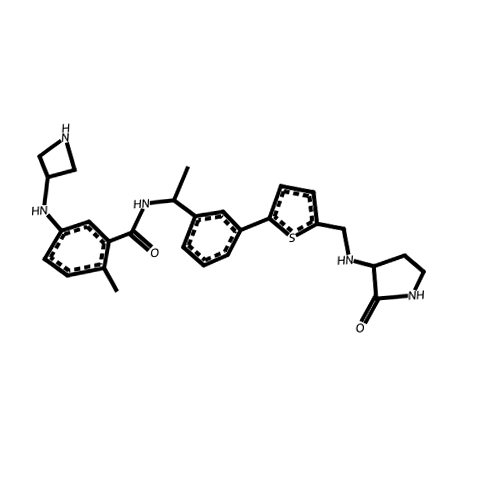 Cc1ccc(NC2CNC2)cc1C(=O)NC(C)c1cccc(-c2ccc(CNC3CCNC3=O)s2)c1